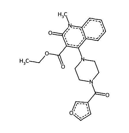 CCOC(=O)c1c(N2CCN(C(=O)c3ccoc3)CC2)c2ccccc2n(C)c1=O